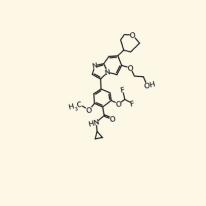 COc1cc(-c2cnc3cc(C4CCOCC4)c(OCCO)cn23)cc(OC(F)F)c1C(=O)NC1CC1